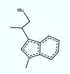 CC(CC(C)(C)C)c1cn(C)c2ccccc12